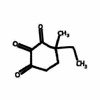 CCC1(C)CCC(=O)C(=O)C1=O